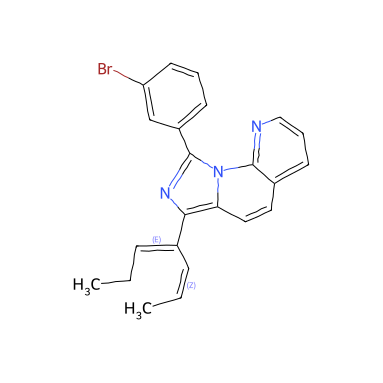 C/C=C\C(=C/CC)c1nc(-c2cccc(Br)c2)n2c1ccc1cccnc12